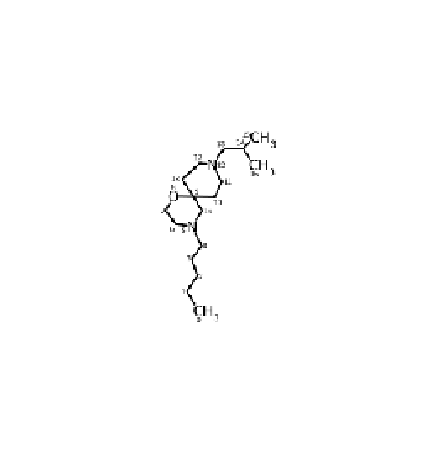 CCCCCN1CCOC2(CCN(CC(C)C)CC2)C1